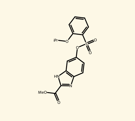 COC(=O)c1nc2ccc(OS(=O)(=O)c3ccccc3OC(C)C)cc2[nH]1